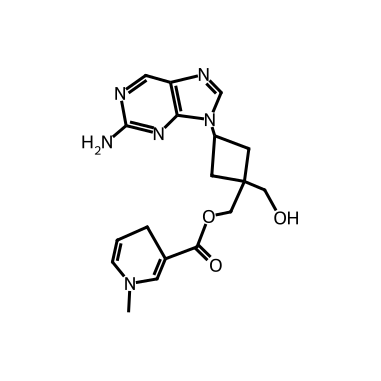 CN1C=CCC(C(=O)OCC2(CO)CC(n3cnc4cnc(N)nc43)C2)=C1